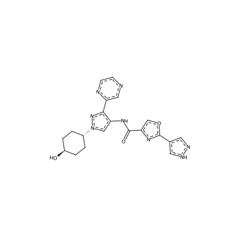 O=C(Nc1cn([C@H]2CC[C@H](O)CC2)nc1-c1cnccn1)c1coc(-c2cn[nH]c2)n1